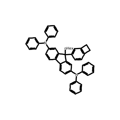 CCCCCCC1(c2ccc3c(c2)CC3)c2cc(N(c3ccccc3)c3ccccc3)ccc2-c2ccc(N(c3ccccc3)c3ccccc3)cc21